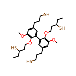 CCC(S)CCOc1c(OC)cc(CCCS)cc1-c1cc(CCCS)cc(OC)c1OCCC(S)CC